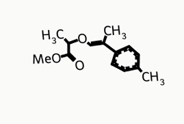 COC(=O)C(C)OC=C(C)c1ccc(C)cc1